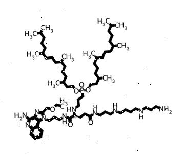 CCOCc1nc2c(N)nc3ccccc3c2n1CCCNC(=O)[C@H](CCC(=O)NCCCNCCCCNCCCN)NCCCP(=O)(OCCC(C)CCCC(C)CCCC(C)CCCC(C)C)OCCC(C)CCCC(C)CCCC(C)CCCC(C)C